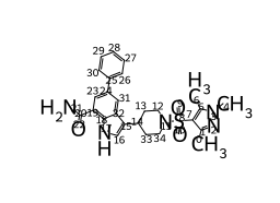 Cc1nn(C)c(C)c1S(=O)(=O)N1CCC(c2c[nH]c3c(C(N)=O)cc(-c4ccccc4)cc23)CC1